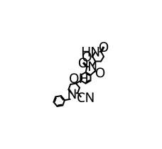 N#CC1CC(O)(c2ccc3c(c2)C(=O)N(C2CCC(=O)NC2=O)C3=O)CCN1Cc1ccccc1